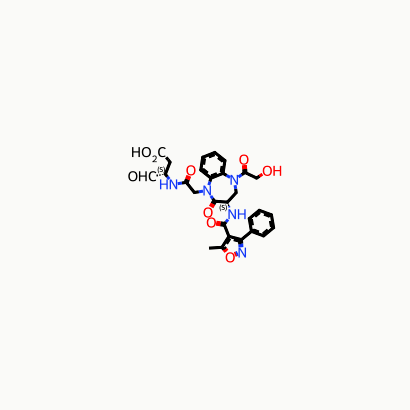 Cc1onc(-c2ccccc2)c1C(=O)N[C@H]1CN(C(=O)CO)c2ccccc2N(CC(=O)N[C@H](C=O)CC(=O)O)C1=O